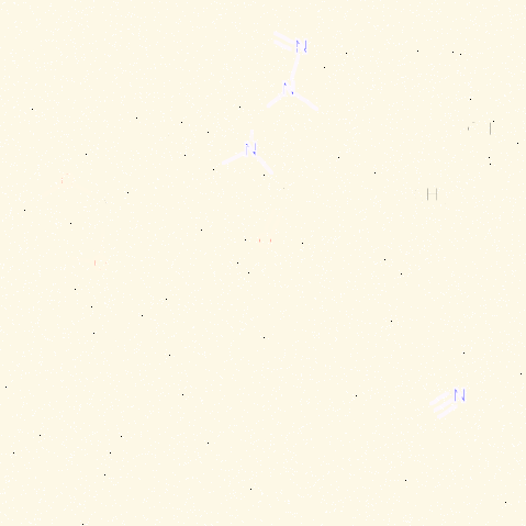 CCCc1c(C(C)c2ccc(-c3ccccc3C#N)cc2)c(=O)n(C2CCC3(CC2)OCCO3)c2ccnn12